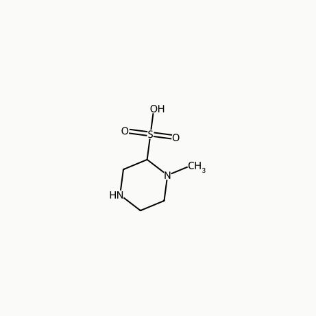 CN1CCNCC1S(=O)(=O)O